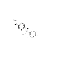 Nc1cc(C(=O)CI)ccc1C(=O)C(O)c1ccccc1